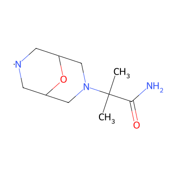 CC(C)(C(N)=O)N1CC2C[N]CC(C1)O2